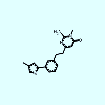 Cc1csc(-c2cccc(CCc3cc(=O)n(C)c(N)n3)c2)c1